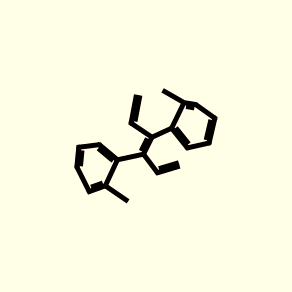 C=C/C(=C(/C=C)c1ccccc1C)c1ccccc1C